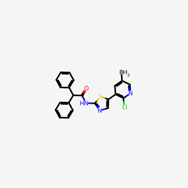 Bc1cnc(Cl)c(-c2cnc(NC(=O)C(c3ccccc3)c3ccccc3)s2)c1